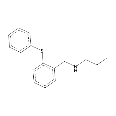 CCCNCc1ccccc1Sc1ccccc1